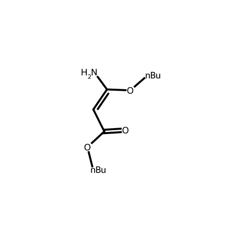 CCCCOC(=O)C=C(N)OCCCC